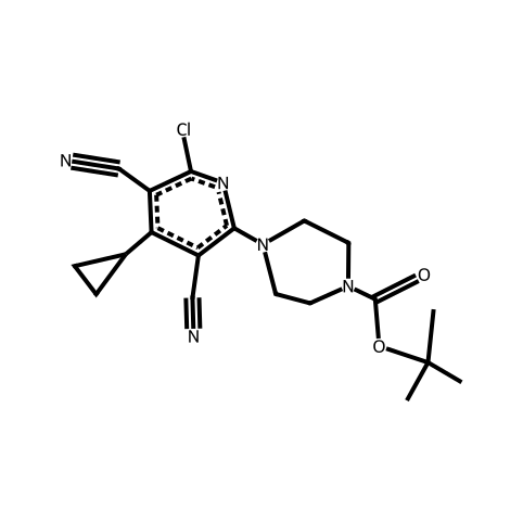 CC(C)(C)OC(=O)N1CCN(c2nc(Cl)c(C#N)c(C3CC3)c2C#N)CC1